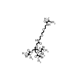 CC(N)C(=O)NCCOCCOCCNC(=O)COCC(COC(=O)C(C)(C)Br)(COC(=O)C(C)(C)Br)COC(=O)C(C)(C)Br